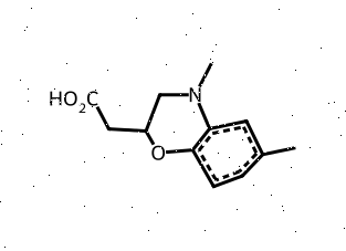 Cc1ccc2c(c1)N(C)CC(CC(=O)O)O2